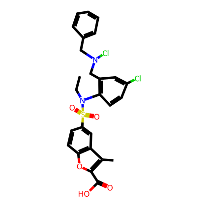 CCN(c1ccc(Cl)cc1CN(Cl)Cc1ccccc1)S(=O)(=O)c1ccc2oc(C(=O)O)c(C)c2c1